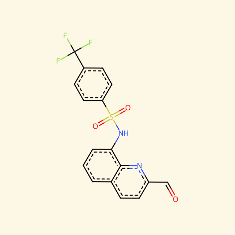 O=Cc1ccc2cccc(NS(=O)(=O)c3ccc(C(F)(F)F)cc3)c2n1